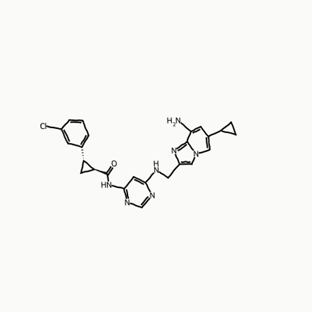 Nc1cc(C2CC2)cn2cc(CNc3cc(NC(=O)[C@H]4C[C@@H]4c4cccc(Cl)c4)ncn3)nc12